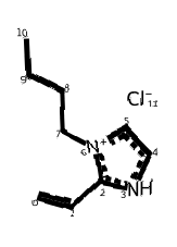 C=Cc1[nH]cc[n+]1CCCC.[Cl-]